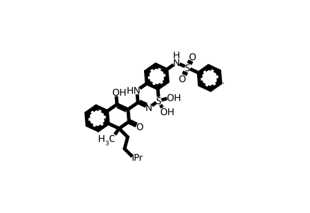 CC(C)CCC1(C)C(=O)C(C2=NS(O)(O)c3cc(NS(=O)(=O)c4cc[c]cc4)ccc3N2)=C(O)c2ccccc21